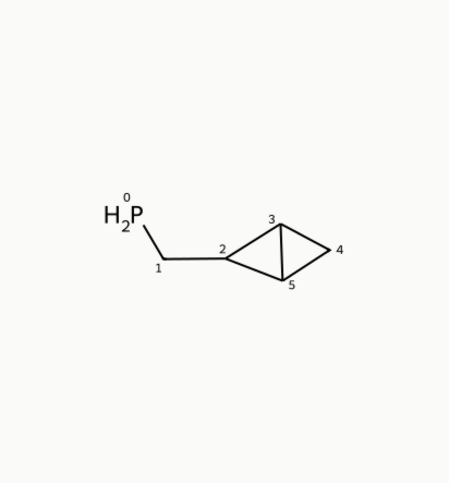 PCC1C2CC12